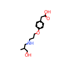 CC(CO)CNCCCOc1ccc(CC(=O)O)cc1